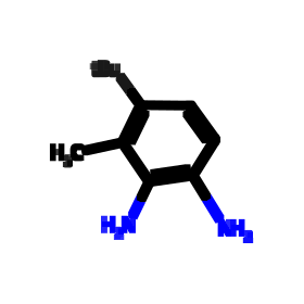 Cc1c(C(C)(C)C)ccc(N)c1N